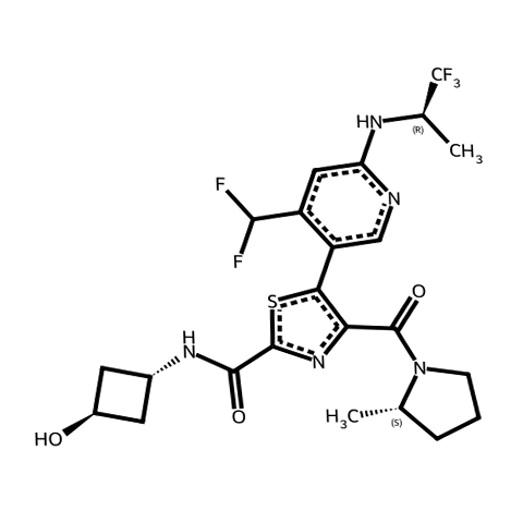 C[C@H]1CCCN1C(=O)c1nc(C(=O)N[C@H]2C[C@H](O)C2)sc1-c1cnc(N[C@H](C)C(F)(F)F)cc1C(F)F